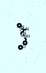 N#CC(c1ccnc(NCCc2ccc(Oc3ccccc3)cc2)n1)c1nc2ccccc2s1